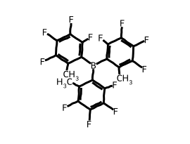 Cc1c(F)c(F)c(F)c(F)c1B(c1c(C)c(F)c(F)c(F)c1F)c1c(C)c(F)c(F)c(F)c1F